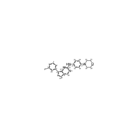 [CH]c1cccc(-c2csc3cnc(Nc4ccc(N5CCOCC5)cc4)nc23)c1